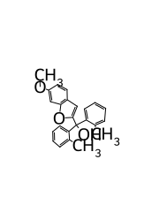 COc1ccc2cc(C(O)(c3ccccc3C)c3ccccc3C)oc2c1